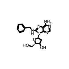 Nc1ncnc2c1nc(NCc1ccccc1)n2[C@H]1CC(O)[C@@H](CO)O1